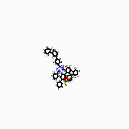 CS1(C)c2ccccc2-c2ccc(-c3c(-c4nc(-c5ccccc5)nc(-c5ccc(-c6ccc7sc8ccccc8c7c6)cc5)n4)ccc4c3C3(c5ccccc5-4)C4CC5CC(C4)CC3C5)cc21